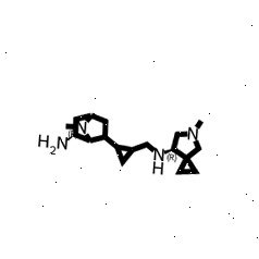 CN1C[C@H](NCC2CC2C2CC3C[C@@H](N)C2N3C)C2(CC2)C1